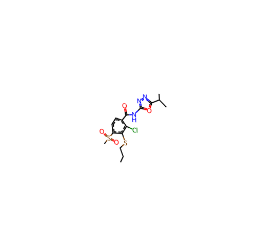 CCCSc1c(S(C)(=O)=O)ccc(C(=O)Nc2nnc(C(C)C)o2)c1Cl